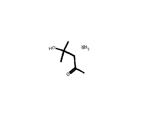 CC(=O)CC(C)(C)O.N